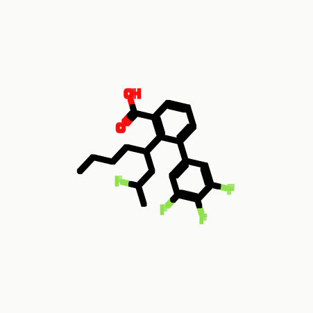 CCCCC(CC(C)F)c1c(C(=O)O)cccc1-c1cc(F)c(F)c(F)c1